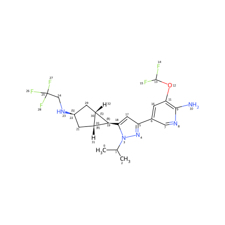 CC(C)n1nc(-c2cnc(N)c(OC(F)F)c2)cc1[C@H]1[C@@H]2C[C@@H](NCC(F)(F)F)C[C@@H]21